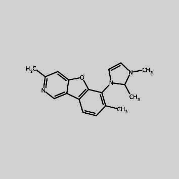 Cc1cc2oc3c(N4C=CN(C)C4C)c(C)ccc3c2cn1